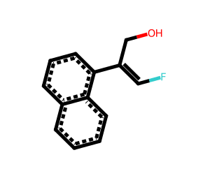 OCC(=CF)c1cccc2ccccc12